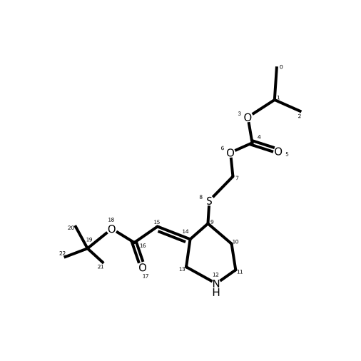 CC(C)OC(=O)OCSC1CCNC/C1=C\C(=O)OC(C)(C)C